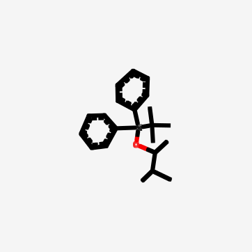 CC(C)C(C)O[Si](c1ccccc1)(c1ccccc1)C(C)(C)C